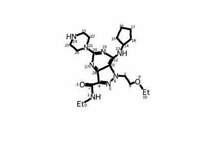 CCNC(=O)c1nn(CCOCC)c2c(NC3CCCC3)nc(N3CCNCC3)nc12